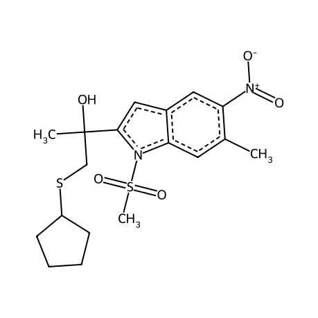 Cc1cc2c(cc1[N+](=O)[O-])cc(C(C)(O)CSC1CCCC1)n2S(C)(=O)=O